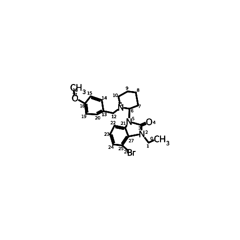 CCn1c(=O)n(C2CCCCN2Cc2ccc(OC)cc2)c2cccc(Br)c21